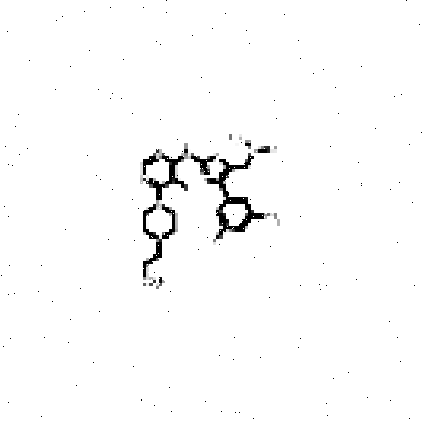 CCN(C)Cc1sc(Nc2ncnc(N3CCN(CCC(=O)O)CC3)c2F)nc1-c1cc(F)cc(C(F)(F)F)c1